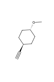 C#C[C@H]1CC[C@H](OC)CC1